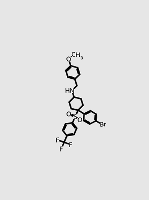 COc1ccc(CNC2CCC(c3ccc(Br)cc3)(S(=O)(=O)c3ccc(C(F)(F)F)cc3)CC2)cc1